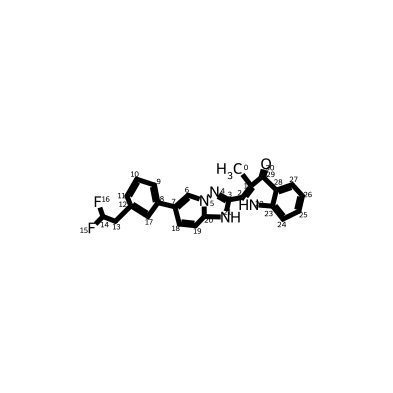 Cc1c(C2=NN3C=C(c4cccc(CC(F)F)c4)C=CC3N2)[nH]c2ccccc2c1=O